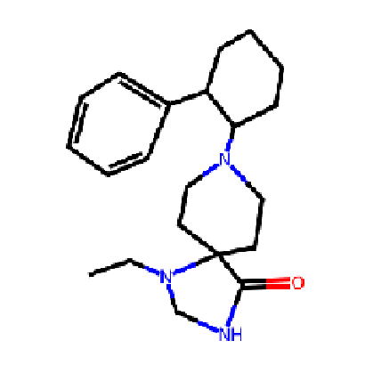 CCN1CNC(=O)C12CCN(C1CCCCC1c1ccccc1)CC2